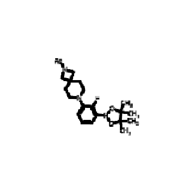 CC(=O)N1CC2(CCN(c3cccc(B4OC(C)(C)C(C)(C)O4)c3F)CC2)C1